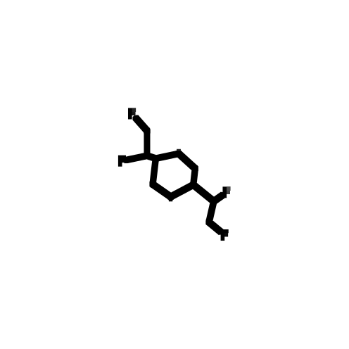 FCC(F)C1[CH]CC(C(F)CF)[CH]C1